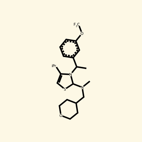 CC(C)C1=CSC(N(C)CC2CCOCC2)N1C(C)c1cccc(OC(F)(F)F)c1